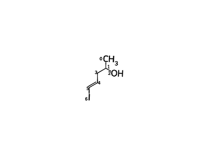 CC(O)CC=CI